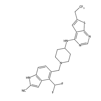 N#Cc1cc2c(C(F)F)c(CN3CCC(Nc4ncnc5sc(CC(F)(F)F)cc45)CC3)ccc2[nH]1